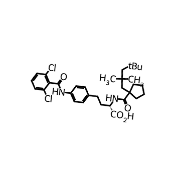 CC(C)(C)CC(C)(C)CC1(C(=O)N[C@@H](CCc2ccc(NC(=O)c3c(Cl)cccc3Cl)cc2)C(=O)O)CCCC1